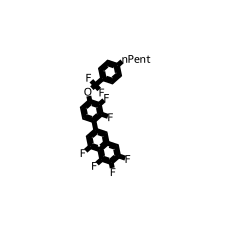 CCCCCc1ccc(C(F)(F)Oc2ccc(-c3cc(F)c4c(F)c(F)c(F)cc4c3)c(F)c2F)cc1